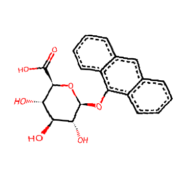 O=C(O)[C@H]1O[C@@H](Oc2c3ccccc3cc3ccccc23)[C@H](O)[C@@H](O)[C@@H]1O